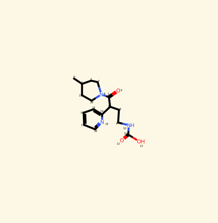 CC1CCN(C(=O)C(CCNC(=O)O)c2ccccn2)CC1